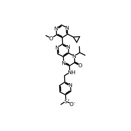 COc1ncnc(C2CC2)c1-c1ncc2nc(NCc3ccc([S+](C)[O-])cn3)c(=O)n(C(C)C)c2n1